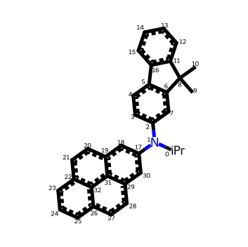 CC(C)N(c1ccc2c(c1)C(C)(C)c1ccccc1-2)c1cc2ccc3cccc4ccc(c1)c2c34